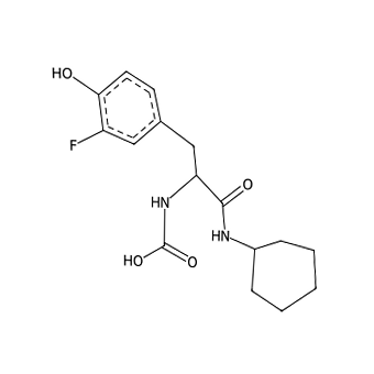 O=C(O)NC(Cc1ccc(O)c(F)c1)C(=O)NC1CCCCC1